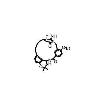 CCOc1ccc2cc1CN1C(=N)NC(CCCCc3ccc4c(c3)C(CC(C)(C)O4)NC2=O)CC1=O